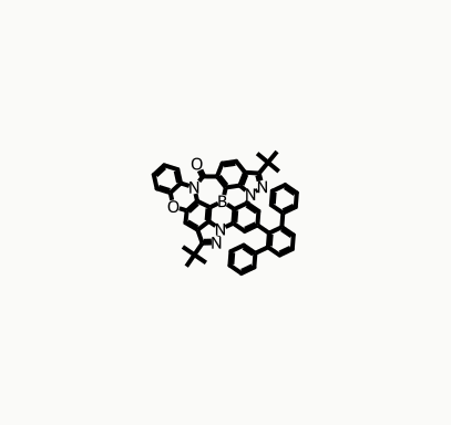 CC(C)(C)c1nn2c3c4c(ccc13)C(=O)N1c3ccccc3Oc3cc5c(C(C)(C)C)nn6c5c(c31)B4c1c-2cc(-c2c(-c3ccccc3)cccc2-c2ccccc2)cc1-6